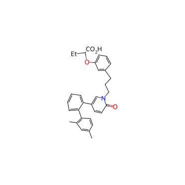 CCC(Oc1cccc(CCCn2cc(-c3ccccc3-c3ccc(C)cc3C)ccc2=O)c1)C(=O)O